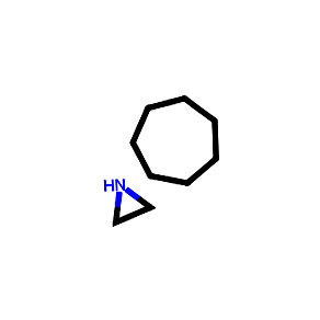 C1CCCCCC1.C1CN1